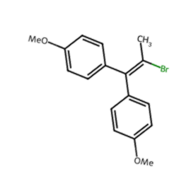 COc1ccc(C(=C(C)Br)c2ccc(OC)cc2)cc1